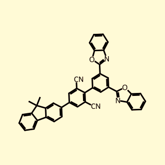 CC1(C)c2ccccc2-c2ccc(-c3cc(C#N)c(-c4cc(-c5nc6ccccc6o5)cc(-c5nc6ccccc6o5)c4)c(C#N)c3)cc21